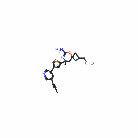 CC#Cc1cncc(-c2csc(C3(C)CC4(CC(CC=O)C4)OC(N)=N3)c2)c1